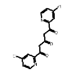 O=C(CC(=O)c1cc(Cl)ccn1)CC(=O)c1cc(Cl)ccn1